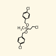 C[Si](CCCl)(OCc1ccc(Cl)cc1)OCc1ccc(Cl)cc1